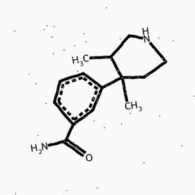 CC1CNCCC1(C)c1cccc(C(N)=O)c1